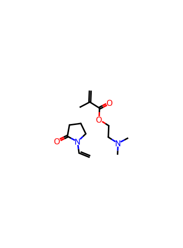 C=C(C)C(=O)OCCN(C)C.C=CN1CCCC1=O